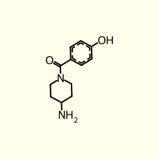 NC1CCN(C(=O)c2ccc(O)cc2)CC1